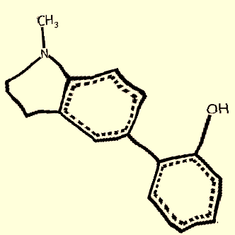 CN1CCc2cc(-c3cc[c]cc3O)ccc21